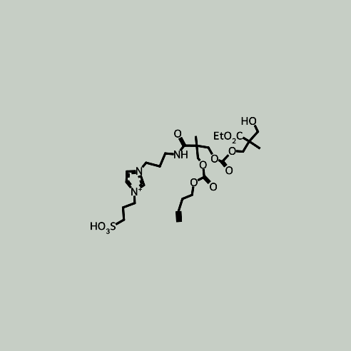 C#CCCOC(=O)OCC(C)(COC(=O)OCC(C)(CO)C(=O)OCC)C(=O)NCCCn1cc[n+](CCCS(=O)(=O)O)c1